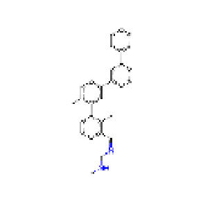 CNC/N=C\c1cccc(-c2cc(-c3cccc(-c4ccccc4)c3)ccc2C)c1C